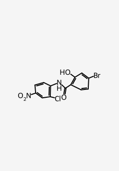 O=C(Nc1ccc([N+](=O)[O-])cc1Cl)c1ccc(Br)cc1O